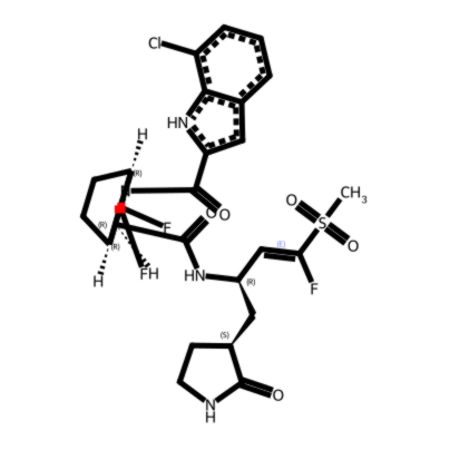 CS(=O)(=O)/C(F)=C/[C@@H](C[C@@H]1CCNC1=O)NC(=O)[C@H]1[C@H]2CC[C@H](CC2(F)F)N1C(=O)c1cc2cccc(Cl)c2[nH]1